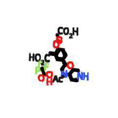 CC(=O)N(CC(=O)c1ccc(OOCC(=O)O)c(CC(=O)O)c1)C1CCNCC1.O=C(O)C(F)(F)F